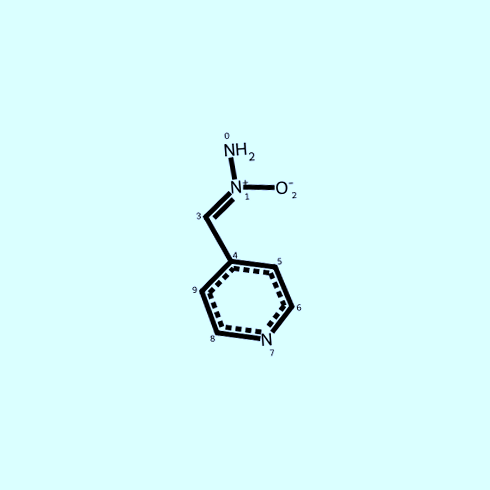 N[N+]([O-])=Cc1ccncc1